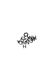 CC(C)(C)OC(=O)Nc1ncc([C@H](N[S+]([O-])C(C)(C)C)c2ccccc2Cl)s1